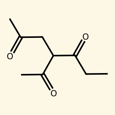 CCC(=O)C(CC(C)=O)C(C)=O